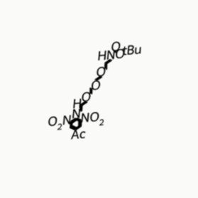 CC(=O)c1cc([N+](=O)[O-])c(NCCCOCCOCCOCCCNC(=O)OC(C)(C)C)c([N+](=O)[O-])c1